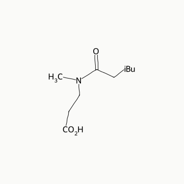 CCC(C)CC(=O)N(C)CCC(=O)O